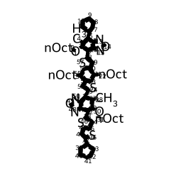 CCCCCCCCOc1c(C)c(-c2ccccc2)c2nonc2c1-c1cc2c(CCCCCCCC)c3sc(-c4c(C)c(OCCCCCCCC)c(-c5cc6sc(-c7ccccc7)cc6s5)c5nonc45)cc3c(CCCCCCCC)c2s1